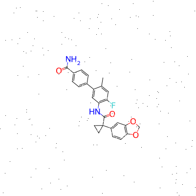 Cc1cc(F)c(NC(=O)C2(c3ccc4c(c3)OCO4)CC2)cc1-c1ccc(C(N)=O)cc1